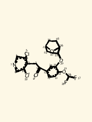 O=C(Cc1c(Cl)cncc1Cl)c1ccc(OC(F)F)c(OC2CC3CCC2O3)c1